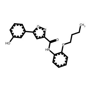 CCCCOc1ccccc1NC(=O)c1cc(-c2cccc(O)c2)on1